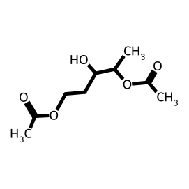 CC(=O)OCCC(O)C(C)OC(C)=O